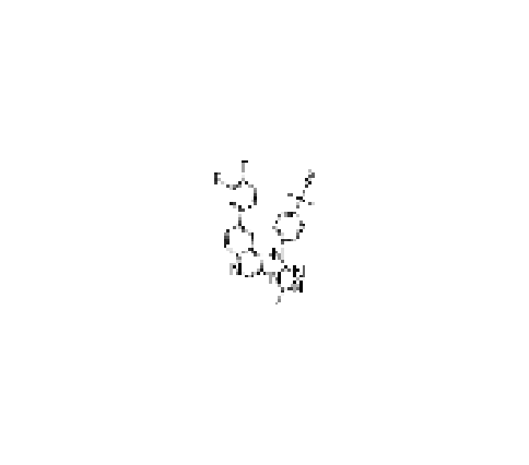 C#CC(C)(C)c1ccc(-n2c3c4cc(-c5ccc(F)c(F)c5)ccc4ncc3n3c(C)nnc23)cc1